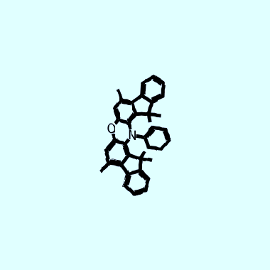 Cc1cc2c(c3c1-c1ccccc1C3(C)C)N(C1=CC=CCC1)c1c(cc(C)c3c1C(C)(C)c1ccccc1-3)O2